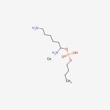 CCCCOP(=O)(O)OC(N)CCCCCN.[Ce]